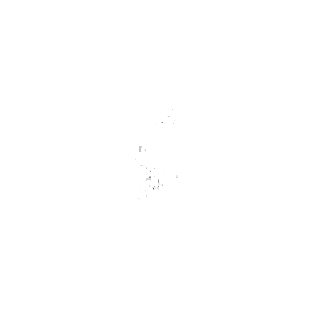 CCC(C)(C)c1ccc(OCCCC(=O)Nc2ccc(Cl)c(NC(=O)C(C(=O)C(C)(C)C)n3nnn(-c4ccc(Cl)cc4)c3=O)c2)c(C(C)(C)CC)c1